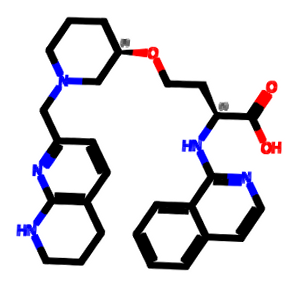 O=C(O)[C@H](CCO[C@@H]1CCCN(Cc2ccc3c(n2)NCCC3)C1)Nc1nccc2ccccc12